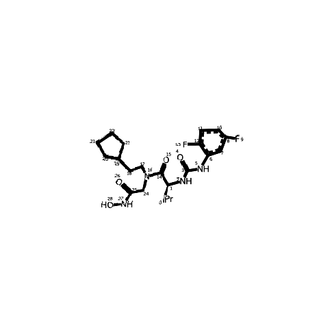 CC(C)[C@H](NC(=O)Nc1cc(F)ccc1F)C(=O)N(CCC1CCCC1)CC(=O)NO